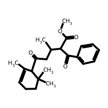 COC(=O)C(C(=O)c1ccccc1)C(C)CC(=O)C1C(C)=CCCC1(C)C